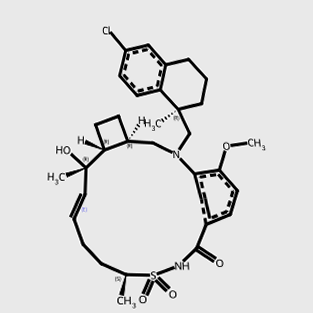 COc1ccc2cc1N(C[C@]1(C)CCCc3cc(Cl)ccc31)C[C@@H]1CC[C@H]1[C@@](C)(O)/C=C/CC[C@H](C)S(=O)(=O)NC2=O